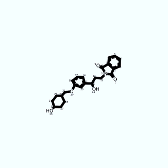 O=C1c2ccccc2C(=O)N1CCC(O)c1cccc(OCC2CCC(O)CC2)c1